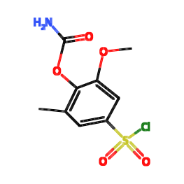 COc1cc(S(=O)(=O)Cl)cc(C)c1OC(N)=O